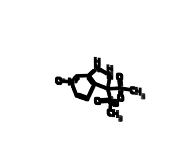 CS(=O)(=O)C1(S(C)(=O)=O)NNc2c[n+]([O-])ccc21